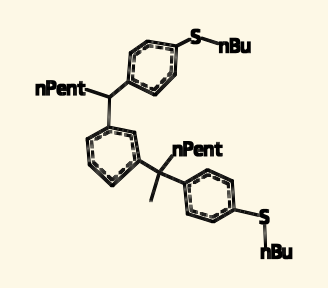 CCCCCC(c1ccc(SCCCC)cc1)c1cccc(C(C)(CCCCC)c2ccc(SCCCC)cc2)c1